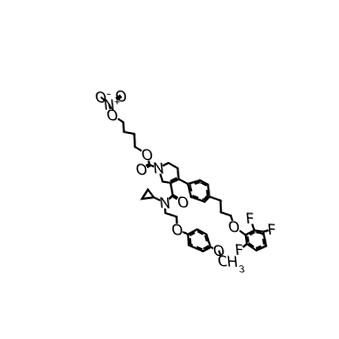 COc1ccc(OCCN(C(=O)C2=C(c3ccc(CCCOc4c(F)ccc(F)c4F)cc3)CCN(C(=O)OCCCCO[N+](=O)[O-])C2)C2CC2)cc1